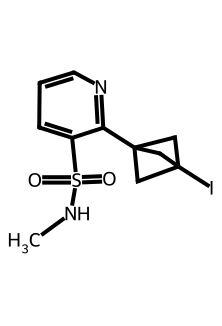 CNS(=O)(=O)c1cccnc1C12CC(I)(C1)C2